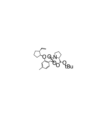 C=C[C@@H]1CCC[C@@H]1Oc1cc(C)ccc1S(=O)(=O)N1CCC[C@H]1C(=O)OC(C)(C)C